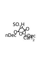 CCCCCCCCCCOC(=O)CC(C(=O)OCCCCCCCCCC)S(=O)(=O)O.[CaH2]